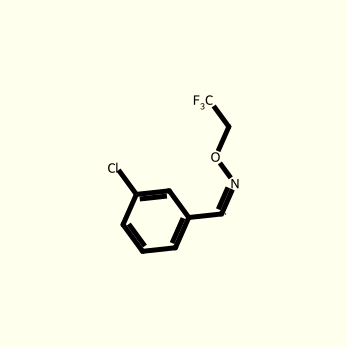 FC(F)(F)CO/N=[C]\c1cccc(Cl)c1